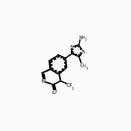 Cc1nc(N)sc1-c1ccc2c(c1)C(C(F)(F)F)C(=O)N=C2